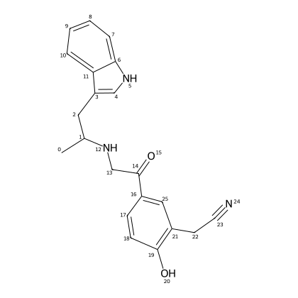 CC(Cc1c[nH]c2ccccc12)NCC(=O)c1ccc(O)c(CC#N)c1